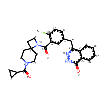 O=C(C1CC1)N1CCC2(CC1)CCN2C(=O)c1cc(Cc2n[nH]c(=O)c3ccccc23)ccc1F